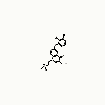 CS(=O)(=O)CCn1cc(C(=O)O)c(=O)c2cc(Cc3cccc(Cl)c3Cl)ccc21